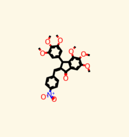 COc1cc(C2C(=Cc3ccc([N+](=O)[O-])cc3)C(=O)c3cc(OC)c(OC)c(OC)c32)cc(OC)c1OC